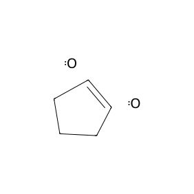 C1=CCCC1.[O].[O]